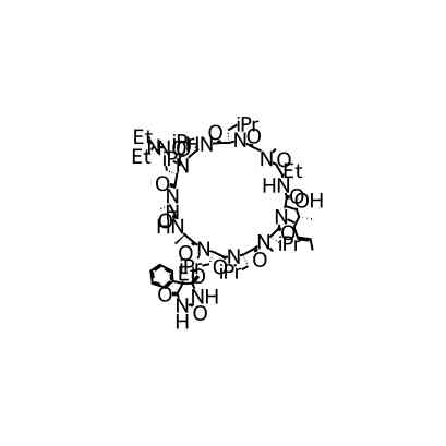 C/C=C/C[C@@H](C)[C@@H](O)[C@H]1C(=O)N[C@@H](CC)C(=O)N(C)CC(=O)N(C)[C@@H](CC(C)C)C(=O)N[C@@H](C(C)C)C(=O)N(C)[C@@H](CC(C)C)C(=O)N[C@@H](C)C(=O)N[C@H](C)C(=O)N(C)[C@@H](CC(C)C)C(=O)N(C)[C@@H](CC(C)C)C(=O)N(C)[C@@H](C(C)C)C(=O)N1C.CCC1(c2ccccc2)C(=O)NC(=O)NC1=O.CCN(CC)N=O